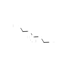 CC[O][AlH][O]CC.[NaH]